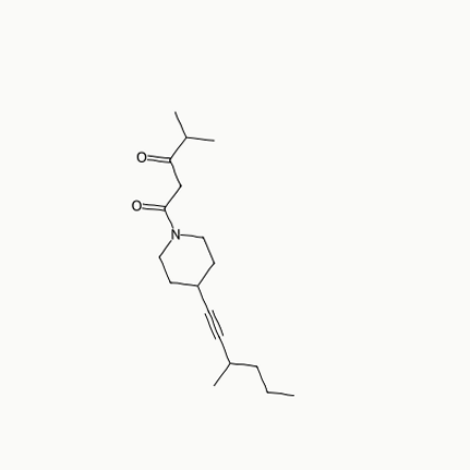 CCCC(C)C#CC1CCN(C(=O)CC(=O)C(C)C)CC1